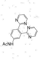 CC(=O)Nc1ccc(-c2ncccn2)c(-c2ncccn2)c1